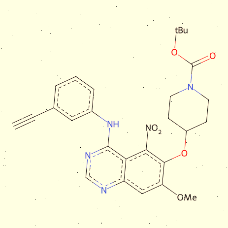 C#Cc1cccc(Nc2ncnc3cc(OC)c(OC4CCN(C(=O)OC(C)(C)C)CC4)c([N+](=O)[O-])c23)c1